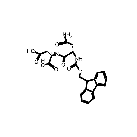 NC(=O)C[C@H](NC(=O)OCC1c2ccccc2-c2ccccc21)C(=O)N[C@@H](CC(=O)O)C(=O)O